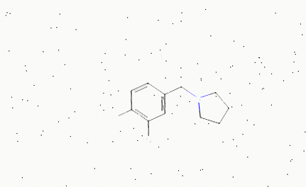 Cl.Cl.O=C(O)c1ccc(CN2CCCC2)cc1[N+](=O)[O-]